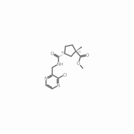 COC(=O)[C@@]1(C)CC[C@@H](C(=O)NCc2nccnc2Cl)C1